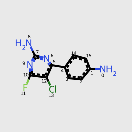 Nc1ccc(-c2nc(N)nc(F)c2Cl)cc1